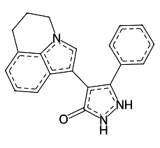 O=c1[nH][nH]c(-c2ccccc2)c1-c1cn2c3c(cccc13)CCC2